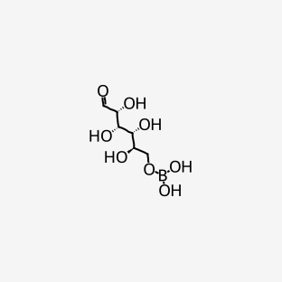 O=C[C@H](O)[C@@H](O)[C@H](O)[C@H](O)COB(O)O